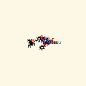 Cc1c(CCB2O[C@@H]3C[C@@H]4C[C@@H](C4(C)C)[C@]3(C)O2)ccc(OC2CN(C(=O)C(NC(=O)OCc3ccccc3)c3cn(C(=O)OC(C)(C)C)cn3)C2)c1C(=O)OC(C)(C)C